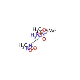 CSCN(C(=O)C(N)CCCCN1C(C)=NOS1=O)S(C)(=O)=O